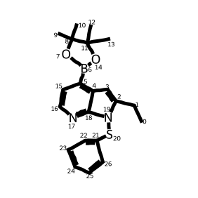 CCc1cc2c(B3OC(C)(C)C(C)(C)O3)ccnc2n1Sc1ccccc1